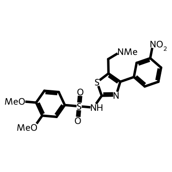 CNCc1sc(NS(=O)(=O)c2ccc(OC)c(OC)c2)nc1-c1cccc([N+](=O)[O-])c1